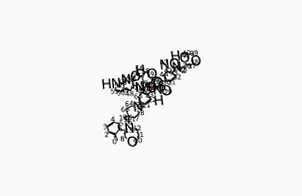 Cc1ccccc1[C@@H]1COCCCN1[C@H]1CC12CCN(c1ccc(C(=O)NS(=O)(=O)c3ccc(NC[C@H]4COCCO4)c([N+](=O)[O-])c3)c(N3c4cc5cc[nH]c5nc4O[C@H]4COCC[C@@H]43)c1)CC2